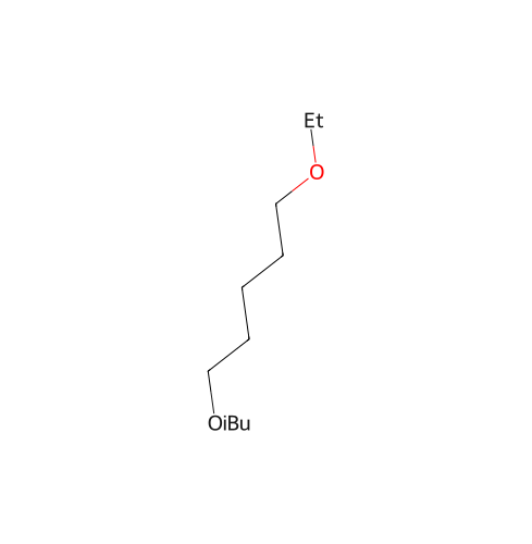 CCOCCCCCOCC(C)C